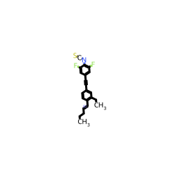 CCC/C=C/c1ccc(C#Cc2cc(F)c(N=C=S)c(F)c2)cc1CC